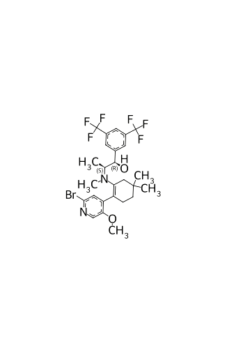 COc1cnc(Br)cc1C1=C(N(C)[C@@H](C)[C@H](O)c2cc(C(F)(F)F)cc(C(F)(F)F)c2)CC(C)(C)CC1